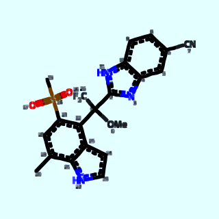 COC(c1nc2cc(C#N)ccc2[nH]1)(c1c(S(C)(=O)=O)cc(C)c2[nH]ccc12)C(F)(F)F